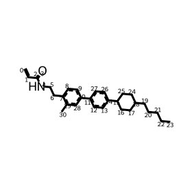 C=CC(=O)NCCc1ccc(-c2ccc(C3CCC(CCCCC)CC3)cc2)cc1C